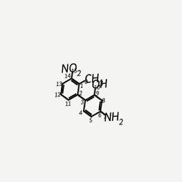 Cc1c(-c2ccc(N)cc2O)cccc1[N+](=O)[O-]